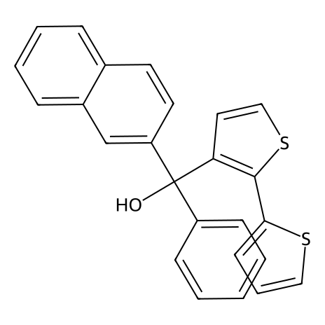 OC(c1ccccc1)(c1ccc2ccccc2c1)c1ccsc1-c1cccs1